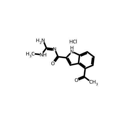 CNC(N)=NC(=O)c1cc2c(C(C)=O)cccc2[nH]1.Cl